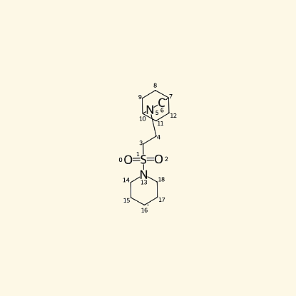 O=S(=O)(CCN1CC2CCC1CC2)N1CC[CH]CC1